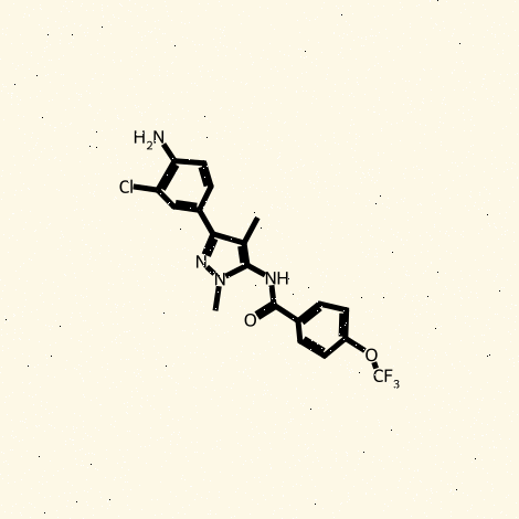 Cc1c(-c2ccc(N)c(Cl)c2)nn(C)c1NC(=O)c1ccc(OC(F)(F)F)cc1